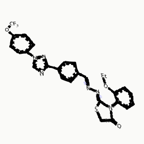 CCOc1ccccc1N1C(=O)CS/C1=N\N=C\c1ccc(-c2ncn(-c3ccc(OC(F)(F)F)cc3)n2)cc1